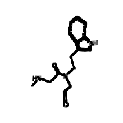 CNCC(=O)N(CC=O)CCc1c[nH]c2ccccc12